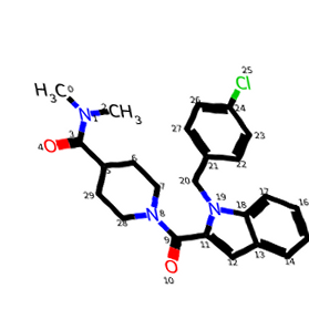 CN(C)C(=O)C1CCN(C(=O)c2cc3ccccc3n2Cc2ccc(Cl)cc2)CC1